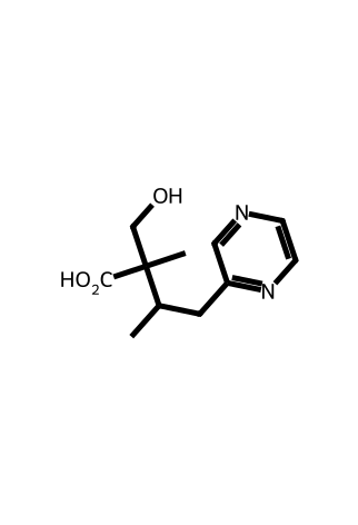 CC(Cc1cnccn1)C(C)(CO)C(=O)O